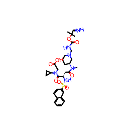 CN(C(=O)C[C@H](NS(=O)(=O)c1ccc2ccccc2c1)C(=O)N(CC(=O)O)C1CC1)[C@H]1CCCN(CNC(=O)OC(C)(C)C=N)C1